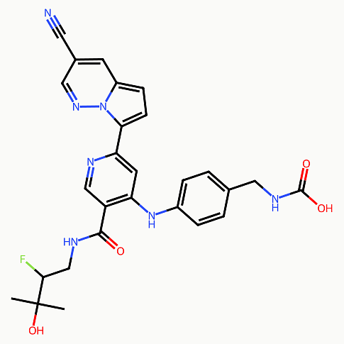 CC(C)(O)C(F)CNC(=O)c1cnc(-c2ccc3cc(C#N)cnn23)cc1Nc1ccc(CNC(=O)O)cc1